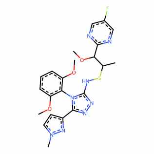 COc1cccc(OC)c1-n1c(NSC(C)C(OC)c2ncc(F)cn2)nnc1-c1ccn(C)n1